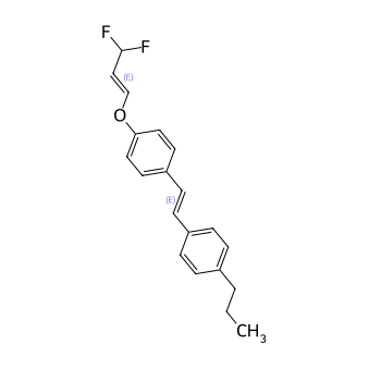 CCCc1ccc(/C=C/c2ccc(O/C=C/C(F)F)cc2)cc1